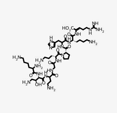 N=C(N)NCC/C=C(\NC(=O)[C@H](CCCCN)NC(=O)C(Cc1cnc[nH]1)NC(=O)[C@@H]1CCCN1C(=O)[C@@H](CCCN)NC(=O)CNC(=O)C(CCN)NC(=O)[C@@H](NC(=O)C(N)CCCCN)[C@@H](O)CN)C(=O)O